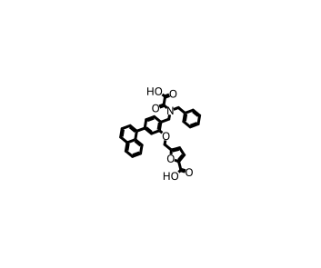 O=C(O)C(=O)N(Cc1ccccc1)Cc1ccc(-c2cccc3ccccc23)cc1OCc1ccc(C(=O)O)o1